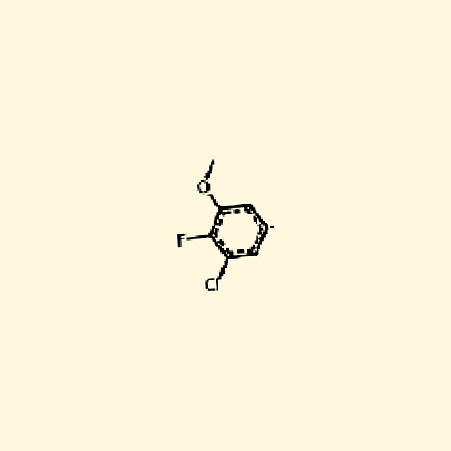 COc1c[c]cc(Cl)c1F